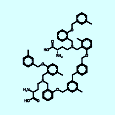 Cc1cccc(COc2ccc(C)cc2CN(CC[C@H](N)C(=O)O)Cc2ccccc2OCc2cc(C)cc(Cc3cccc(COc4cccc(C)c4CN(CC[C@H](N)C(=O)O)Cc4ccccc4OCc4cccc(C)c4)c3)c2)c1